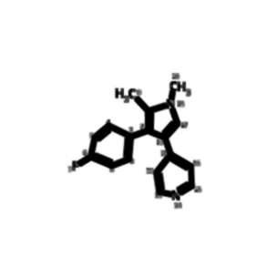 Cc1c(-c2ccc(F)cc2)c(-c2ccncc2)cn1C